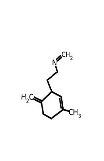 C=NCCC1C=C(C)CCC1=C